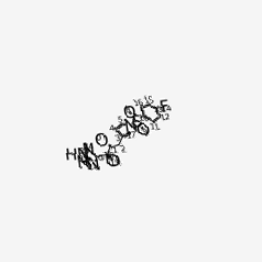 O=C(Cc1ccn(S(=O)(=O)c2ccc(F)cc2)c1)C(=O)c1nn[nH]n1